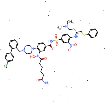 CN(C)CC[C@H](CSc1ccccc1)Nc1ccc(S(=O)(=O)NC(=O)c2ccc(N3CCN(Cc4ccccc4-c4ccc(Cl)cc4)CC3)c(N(O)C(=O)CCCCC(N)=O)c2)cc1[N+](=O)[O-]